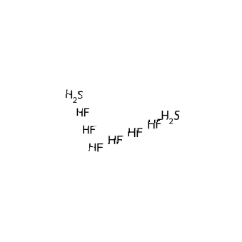 F.F.F.F.F.F.S.S